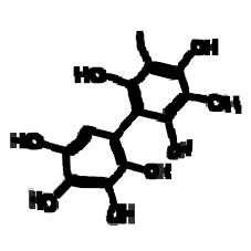 Cc1c(O)c(O)c(O)c(-c2cc(O)c(O)c(O)c2O)c1O